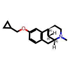 CN1CC[C@]23CCCC[C@H]2[C@H]1Cc1ccc(OCC2CC2)cc13